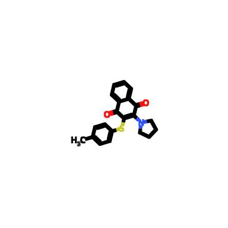 Cc1ccc(SC2=C(N3CCCC3)C(=O)c3ccccc3C2=O)cc1